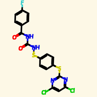 O=C(NSc1ccc(Sc2nc(Cl)cc(Cl)n2)cc1)NC(=O)c1ccc(F)cc1